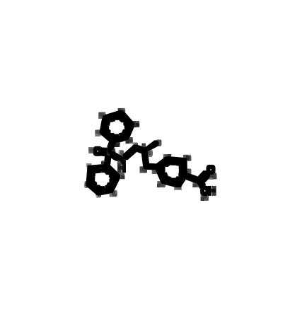 C[C@H](CNP(=O)(c1ccccc1)c1ccccc1)Cc1ccc(C(=O)O)cc1